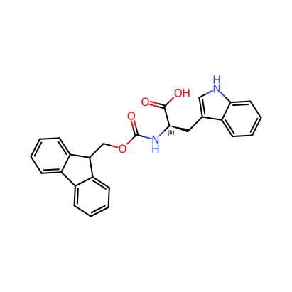 O=C(N[C@H](Cc1c[nH]c2ccccc12)C(=O)O)OCC1c2ccccc2-c2ccccc21